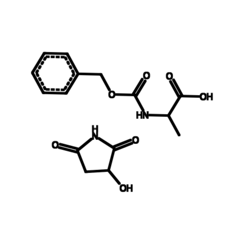 CC(NC(=O)OCc1ccccc1)C(=O)O.O=C1CC(O)C(=O)N1